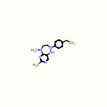 CCc1ccc(N2CCN(C)c3nc(C)ncc3N2)cc1